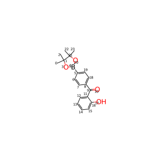 CC1(C)OB(c2ccc(C(=O)c3ccccc3O)cc2)OC1(C)C